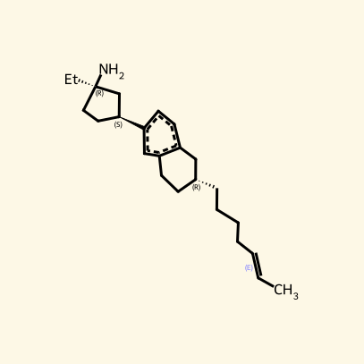 C/C=C/CCCC[C@@H]1CCc2cc([C@H]3CC[C@](N)(CC)C3)ccc2C1